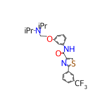 CC(C)N(CCOc1cccc(NC(=O)c2csc(-c3cccc(C(F)(F)F)c3)n2)c1)C(C)C